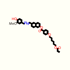 C=CC(=O)OCCCCCCOc1ccc(C(=O)Oc2ccc3cc(/C=N/N=C/c4ccc(O)c(OC)c4)ccc3c2)cc1